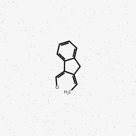 C/C=C1/Cc2ccccc2/C1=C/Cl